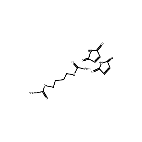 CCCCCC(=O)OCCCCOC(=O)CCCCC.O=C1C=CC(=O)N1.O=C1C=CC(=O)N1